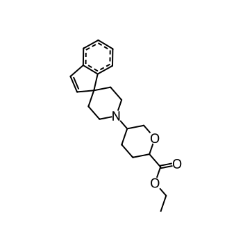 CCOC(=O)C1CCC(N2CCC3(C=Cc4ccccc43)CC2)CO1